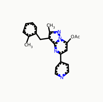 CC(=O)Oc1cc(-c2ccncc2)nc2c(Cc3ccccc3C)c(C)nn12